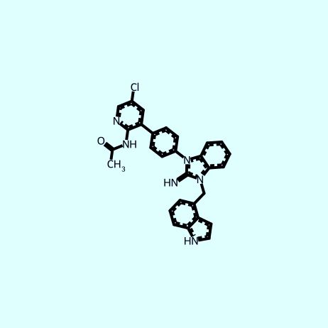 CC(=O)Nc1ncc(Cl)cc1-c1ccc(-n2c(=N)n(Cc3cccc4[nH]ccc34)c3ccccc32)cc1